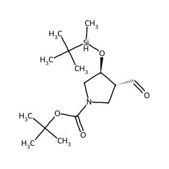 C[SiH](O[C@@H]1CN(C(=O)OC(C)(C)C)C[C@H]1C=O)C(C)(C)C